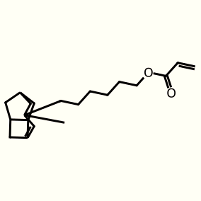 C=CC(=O)OCCCCCCC1(C)C=C2CC3CC(CC23)C1